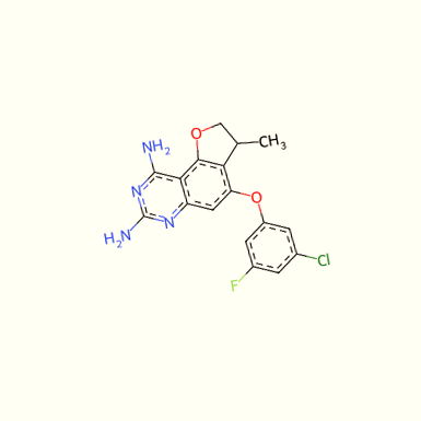 CC1COc2c1c(Oc1cc(F)cc(Cl)c1)cc1nc(N)nc(N)c21